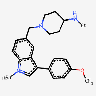 CCCCn1cc(-c2ccc(OC(F)(F)F)cc2)c2cc(CN3CCC(NCC)CC3)ccc21